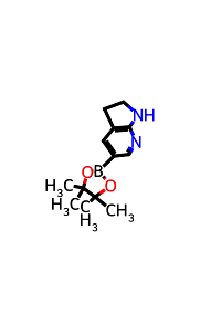 CC1(C)OB(c2cnc3c(c2)CCN3)OC1(C)C